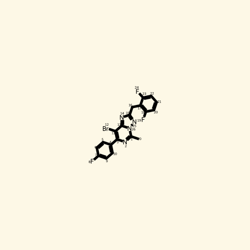 Cc1nc(-c2ccc(F)cc2)c(Br)c2nc(Cc3c(F)cccc3F)nn12